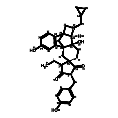 CCN1C(=O)N(Cc2ccc(O)cc2)C(=O)[C@@]12CC[C@@]1(O)[C@@H]3N(CC4CC4)CC34C[C@@]1(C2)c1cc(O)ccc14